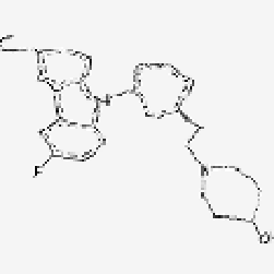 OC1CCN(CCc2cccc(-n3c4ccc(F)cc4c4cc(F)ccc43)c2)CC1